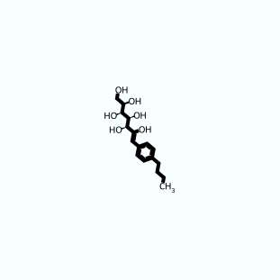 CCCCc1ccc(C=C(O)[C@H](O)[C@@H](O)[C@H](O)[C@H](O)CO)cc1